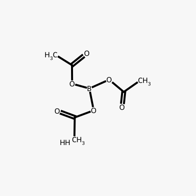 CC(=O)OB(OC(C)=O)OC(C)=O.[HH]